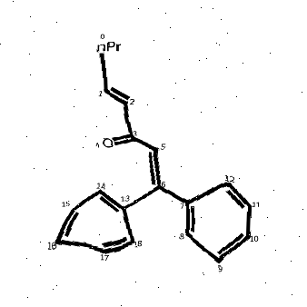 CCCC=CC(=O)C=C(c1ccccc1)c1ccccc1